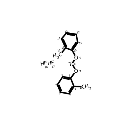 Cc1ccccc1[O][Ti][O]c1ccccc1C.F.F